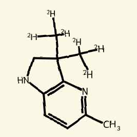 [2H]C([2H])([2H])C1(C([2H])([2H])[2H])CNc2ccc(C)nc21